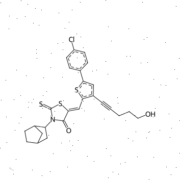 O=C1/C(=C/c2sc(-c3ccc(Cl)cc3)cc2C#CCCCO)SC(=S)N1C1CC2CCC1C2